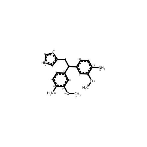 COc1cc(C(Cc2c[nH]cn2)c2ccc(N)c(OC)c2)ccc1N